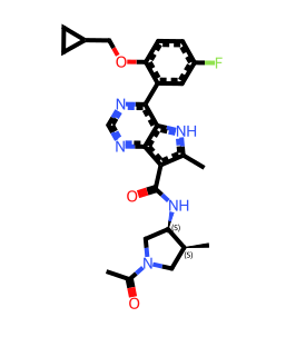 CC(=O)N1C[C@H](C)[C@H](NC(=O)c2c(C)[nH]c3c(-c4cc(F)ccc4OCC4CC4)ncnc23)C1